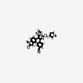 CN1CC[C@@H](COc2nc(-c3ccc(C#N)cc3)c(-c3ccc4c(c3)CC(=O)N4C)c3nccn23)C1